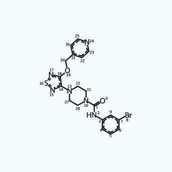 O=C(Nc1cccc(Br)c1)N1CCN(c2nsnc2OCc2ccncc2)CC1